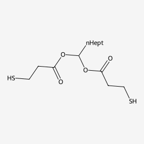 CCCCCCCC(OC(=O)CCS)OC(=O)CCS